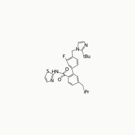 CC(C)Cc1ccc(S(=O)(=O)Nc2nccs2)c(-c2ccc(Cn3ccnc3C(C)(C)C)c(F)c2)c1